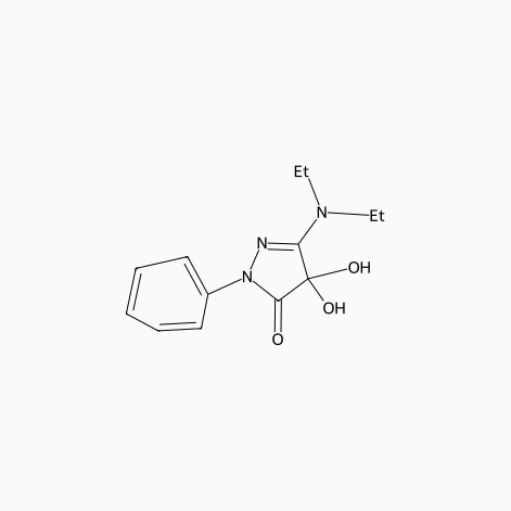 CCN(CC)C1=NN(c2ccccc2)C(=O)C1(O)O